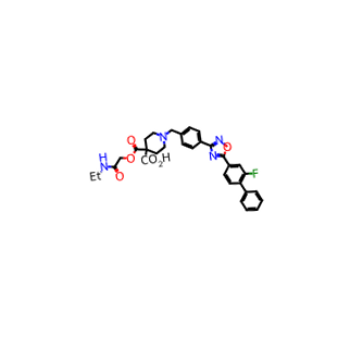 CCNC(=O)COC(=O)C1(C(=O)O)CCN(Cc2ccc(-c3noc(-c4ccc(-c5ccccc5)c(F)c4)n3)cc2)CC1